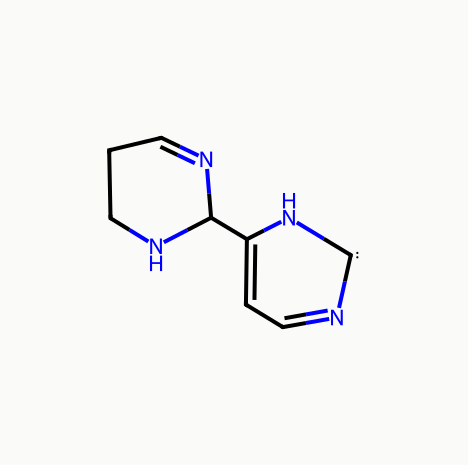 [C]1N=CC=C(C2N=CCCN2)N1